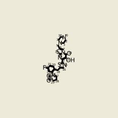 CN1CCN(Cc2cn3c(=O)c(O)c(-c4ncc(Cc5ccc(F)cc5N5CCCS5(=O)=O)s4)nc3s2)CC1